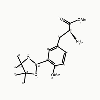 COC(=O)[C@@H](N)Cc1ccc(OC)c(B2OC(C)(C)C(C)(C)O2)c1